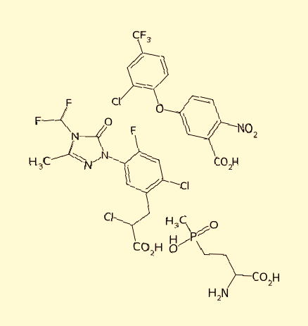 CP(=O)(O)CCC(N)C(=O)O.Cc1nn(-c2cc(CC(Cl)C(=O)O)c(Cl)cc2F)c(=O)n1C(F)F.O=C(O)c1cc(Oc2ccc(C(F)(F)F)cc2Cl)ccc1[N+](=O)[O-]